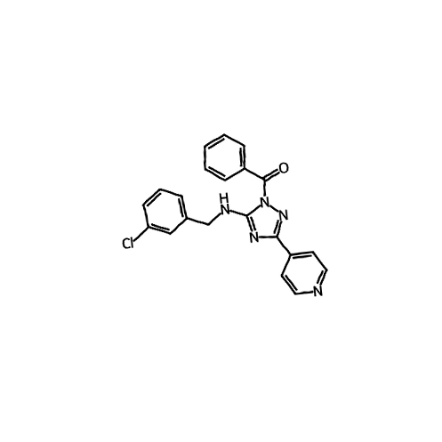 O=C(c1ccccc1)n1nc(-c2ccncc2)nc1NCc1cccc(Cl)c1